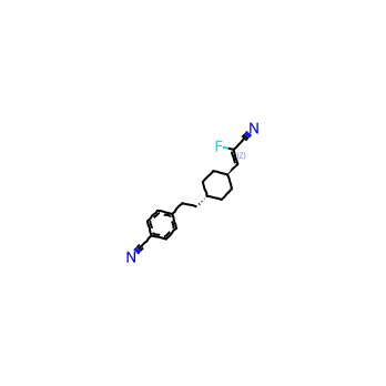 N#C/C(F)=C/[C@H]1CC[C@H](CCc2ccc(C#N)cc2)CC1